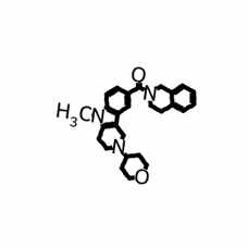 Cn1c2c(c3cc(C(=O)N4CCc5ccccc5C4)ccc31)CN(C1CCOCC1)CC2